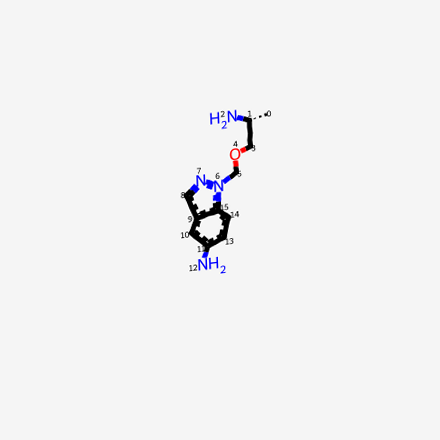 C[C@@H](N)COCn1ncc2cc(N)ccc21